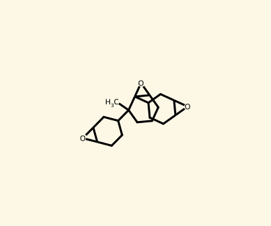 CC1(C2CCC3OC3C2)CCCC2OC21C1CCC2OC2C1